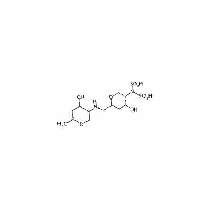 CC1CC(O)C(NCC2CC(O)C(N(S(=O)(=O)O)S(=O)(=O)O)CO2)CO1